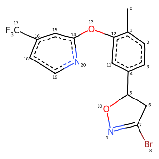 Cc1ccc(C2CC(Br)=NO2)cc1Oc1cc(C(F)(F)F)ccn1